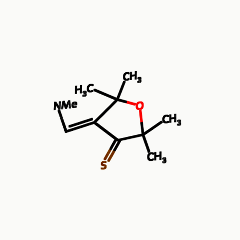 CNC=C1C(=S)C(C)(C)OC1(C)C